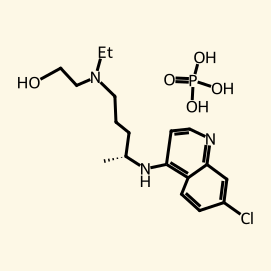 CCN(CCO)CCC[C@@H](C)Nc1ccnc2cc(Cl)ccc12.O=P(O)(O)O